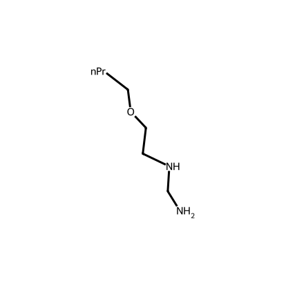 CCCCOCCNCN